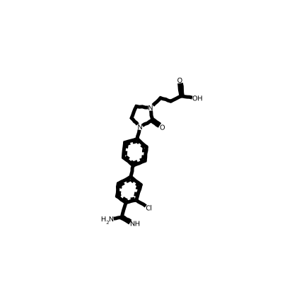 N=C(N)c1ccc(-c2ccc(N3CCN(CCC(=O)O)C3=O)cc2)cc1Cl